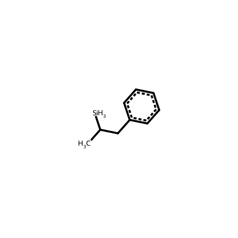 CC([SiH3])Cc1ccccc1